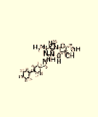 Nc1nc(N/N=C/c2ccc(-c3ccccc3)cc2)nc2c1ncn2[C@@H]1O[C@H](CO)[C@@H](O)[C@H]1O